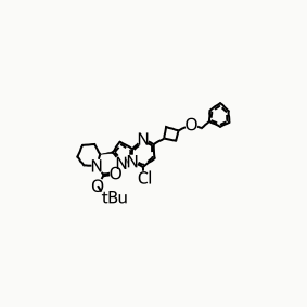 CC(C)(C)OC(=O)N1CCCC[C@H]1c1cc2nc(C3CC(OCc4ccccc4)C3)cc(Cl)n2n1